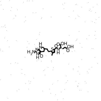 Cc1cc(C(=O)N[C@@H](CCC(=O)O)C(=O)O)sc1CCC1CNc2nc(N)[nH]c(=O)c2C1